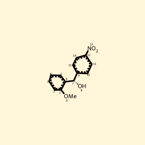 COc1ccccc1[C@@H](O)c1ccc([N+](=O)[O-])cc1